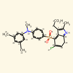 CC1=C(CC(=O)O)C2=C(S(=O)(=O)c3ccc(N(C)c4cc(C)cc(C)c4)cc3)C(F)=CCC2=N1